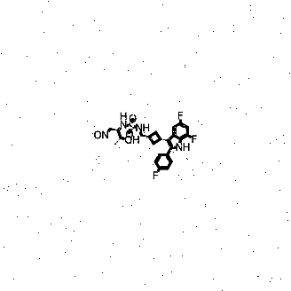 C[C@@H](O)[C@@H](CN=O)NS(=O)(=O)NC[C@H]1C[C@H](c2c(-c3ccc(F)cc3)[nH]c3c(F)cc(F)cc32)C1